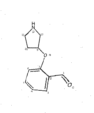 O=Cc1ccccc1OC1CCNC1